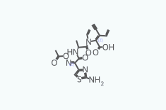 C#C/C(C=C)=C(/C(=O)O)N(C=C)C(=O)C(C)NC(=O)/C(=N\OC(C)=O)c1csc(N)n1